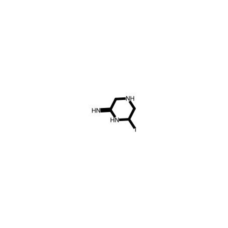 N=C1CNCC(I)N1